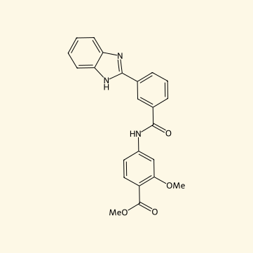 COC(=O)c1ccc(NC(=O)c2cccc(-c3nc4ccccc4[nH]3)c2)cc1OC